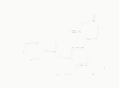 COc1c(NC(=O)c2ccccc2)cc(N2CCC(=O)NC2=O)cc1C(C)(C)C